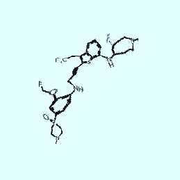 CN1CCP(=O)(c2ccc(NCC#Cc3sc4c(NC5CCN(C)C[C@H]5F)cccc4c3CC(F)(F)F)c(OCF)c2)CC1